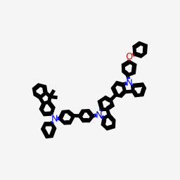 CC1(C)c2ccccc2-c2ccc(N(c3ccccc3)c3ccc(-c4ccc(-n5c6ccccc6c6cc(-c7ccc8c(c7)c7ccccc7n8-c7ccc(Oc8ccccc8)cc7)ccc65)cc4)cc3)cc21